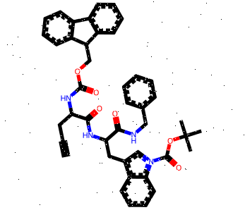 C#CCC(NC(=O)OCC1c2ccccc2-c2ccccc21)C(=O)NC(Cc1cn(C(=O)OC(C)(C)C)c2ccccc12)C(=O)NCc1ccccc1